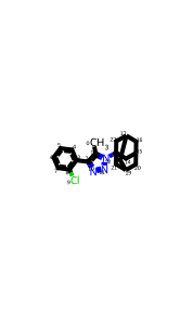 Cc1c(-c2ccccc2Cl)nnn1C12CC3CC(CC(C3)C1)C2